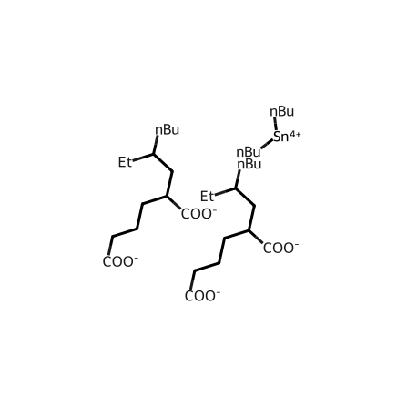 CCCCC(CC)CC(CCCC(=O)[O-])C(=O)[O-].CCCCC(CC)CC(CCCC(=O)[O-])C(=O)[O-].CCC[CH2][Sn+4][CH2]CCC